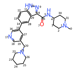 CN1CCC(NC(=O)c2n[nH]c3ccc(-c4cncc(CN5CCCCC5)c4)cc23)CC1